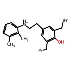 Cc1cccc([SiH2]CCc2cc(CC(C)C)c(O)c(CC(C)C)c2)c1C